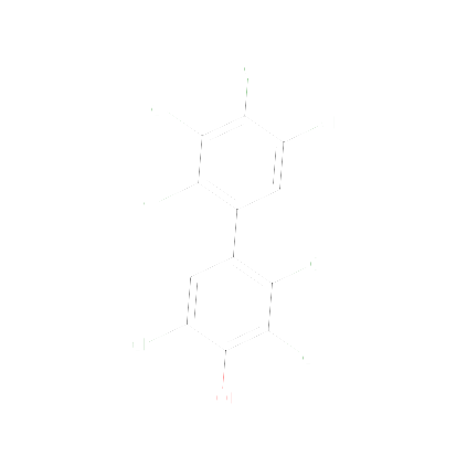 Oc1c(Cl)cc(-c2cc(Cl)c(Cl)c(Cl)c2Cl)c(Cl)c1Cl